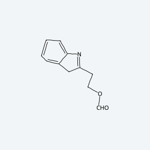 O=COCCC1=Nc2ccccc2C1